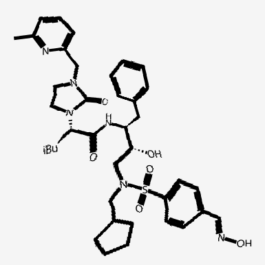 CC[C@H](C)[C@@H](C(=O)N[C@@H](Cc1ccccc1)[C@H](O)CN(CC1CCCC1)S(=O)(=O)c1ccc(/C=N/O)cc1)N1CCN(Cc2cccc(C)n2)C1=O